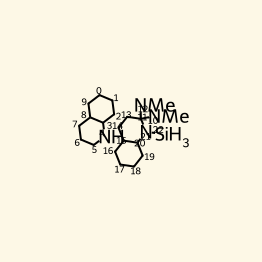 C1CCC2NCCCC2C1.CNC1(NC)CCC2CCCCC2N1[SiH3]